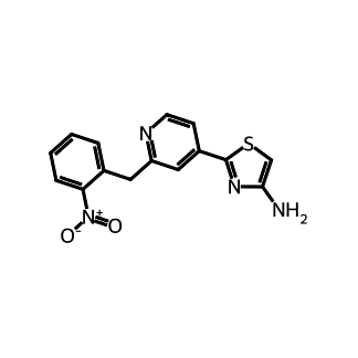 Nc1csc(-c2ccnc(Cc3ccccc3[N+](=O)[O-])c2)n1